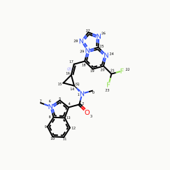 CN(C(=O)c1cn(C)c2ccccc12)[C@H]1C/C1=C/c1cc(C(F)F)nc2ncnn12